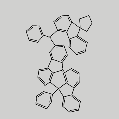 c1ccc(N(c2ccc3sc4c(C5(c6ccccc6)c6ccccc6-c6ccccc65)cccc4c3c2)c2cccc3c2-c2ccccc2C32CCCC2)cc1